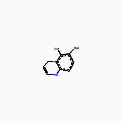 CC(C)(C)c1ccc2c(c1C(C)(C)C)CC=CN2